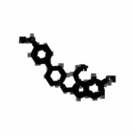 COc1ccc(C2CCN(Cc3cc4cnc(C#N)nc4n3CC(C)C)CC2)cc1